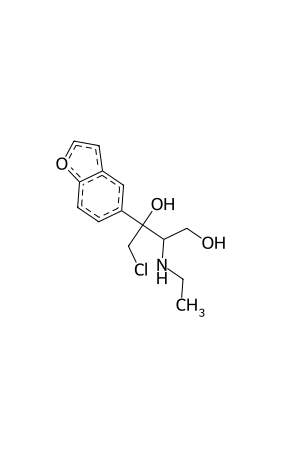 CCNC(CO)C(O)(CCl)c1ccc2occc2c1